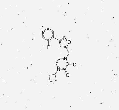 O=c1c(=O)n(C2CCC2)ccn1Cc1cc(-c2ccccc2F)no1